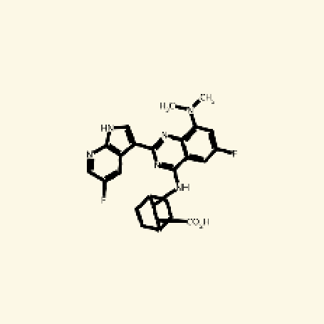 CN(C)c1cc(F)cc2c(NC3C4CCC(CC4)C3C(=O)O)nc(-c3c[nH]c4ncc(F)cc34)nc12